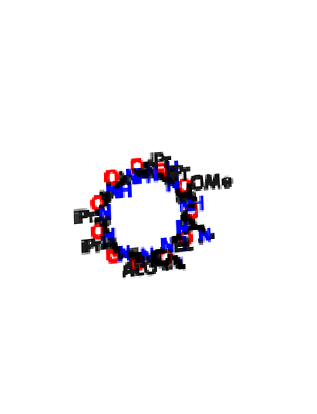 C/C=C/C[C@@H](C)[C@@H](OC(C)=O)[C@H]1C(=O)N[C@@H](CC)C(=O)N(C)[C@H](CCCN(C)C)C(=O)N[C@@H]([C@H](C)COC)C(=O)N[C@@H](C(C)C)C(=O)N(C)[C@@H](CC(C)C)C(=O)N[C@@H](C)C(=O)N[C@H](C)C(=O)N(C)[C@@H](CC(C)C)C(=O)N(C)[C@@H](CC(C)C)C(=O)N(C)[C@@H](C(C)C)C(=O)N1C